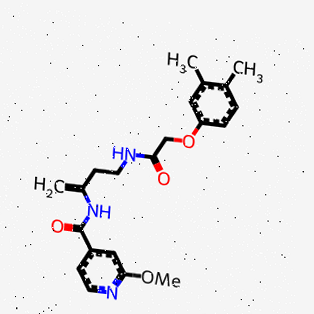 C=C(CCNC(=O)COc1ccc(C)c(C)c1)NC(=O)c1ccnc(OC)c1